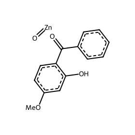 COc1ccc(C(=O)c2ccccc2)c(O)c1.[O]=[Zn]